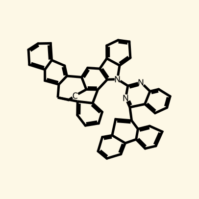 c1ccc2c(c1)-c1c3c(cc4c5ccccc5n(-c5nc(-c6cc7ccccc7c7ccccc67)c6ccccc6n5)c14)-c1cc4ccccc4cc1C2CC3